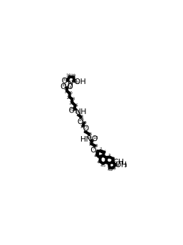 CC12CCC3c4ccc(OCCC(=O)NCCOCCOCCNC(=O)CCCCCCC(=O)ON5C(=O)CCC5O)cc4CCC3C1CCC2O